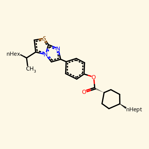 CCCCCCC[C@H]1CC[C@H](C(=O)Oc2ccc(-c3cn4c(C(C)CCCCCC)csc4n3)cc2)CC1